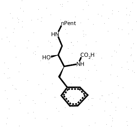 CCCCCNC[C@H](O)[C@H](Cc1ccccc1)NC(=O)O